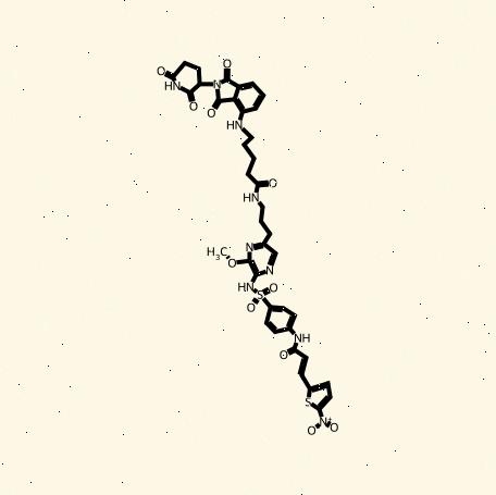 COc1nc(CCCNC(=O)CCCCNc2cccc3c2C(=O)N(C2CCC(=O)NC2=O)C3=O)cnc1NS(=O)(=O)c1ccc(NC(=O)/C=C/c2ccc([N+](=O)[O-])s2)cc1